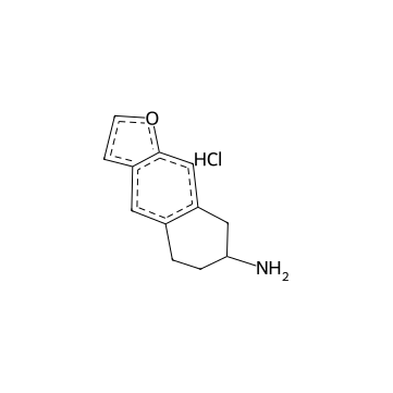 Cl.NC1CCc2cc3ccoc3cc2C1